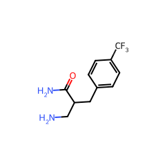 NCC(Cc1ccc(C(F)(F)F)cc1)C(N)=O